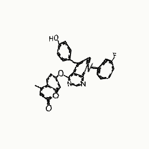 Cc1cc(=O)oc2cc(Oc3ncnc4c3c(-c3ccc(O)cc3)cn4-c3cccc(F)c3)ccc12